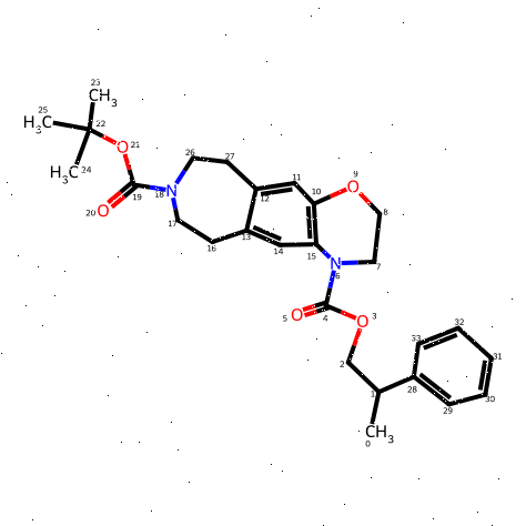 CC(COC(=O)N1CCOc2cc3c(cc21)CCN(C(=O)OC(C)(C)C)CC3)c1ccccc1